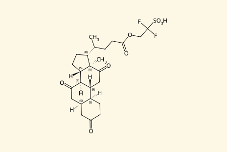 CC(CCC(=O)OCC(F)(F)S(=O)(=O)O)[C@H]1CC[C@H]2[C@@H]3C(=O)C[C@@H]4CC(=O)CC[C@@H]4[C@H]3CC(=O)[C@]12C